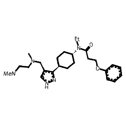 CCN(C(=O)CCOc1ccccc1)[C@H]1CC[C@H](c2n[nH]cc2CN(C)CCNC)CC1